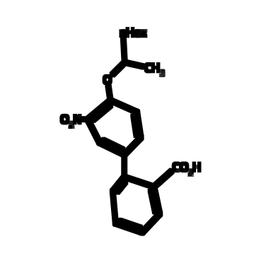 CCCCCCC(C)Oc1ccc(-c2ccccc2C(=O)O)cc1[N+](=O)[O-]